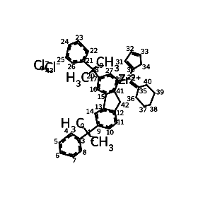 CC(C)(c1ccccc1)c1ccc2c(c1)-c1cc(C(C)(C)c3ccccc3)c[c]([Zr+2]([C]3=CC=CC3)=[C]3CCCCC3)c1C2.[Cl-].[Cl-]